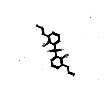 C=CCc1cccc(S(=O)(=O)c2cccc(C=CC)c2O)c1O